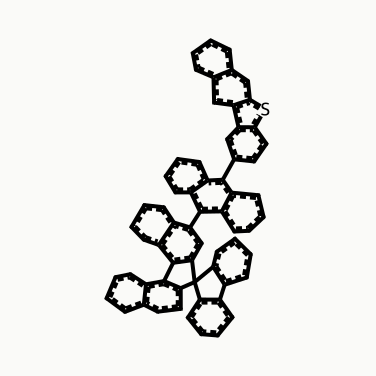 c1ccc2c(c1)-c1ccccc1C21c2ccc3ccccc3c2-c2c1cc(-c1c3ccccc3c(-c3ccc4sc5cc6ccccc6cc5c4c3)c3ccccc13)c1ccccc21